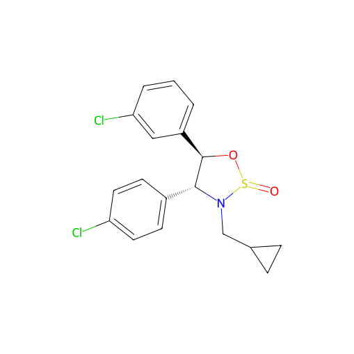 O=S1O[C@H](c2cccc(Cl)c2)[C@@H](c2ccc(Cl)cc2)N1CC1CC1